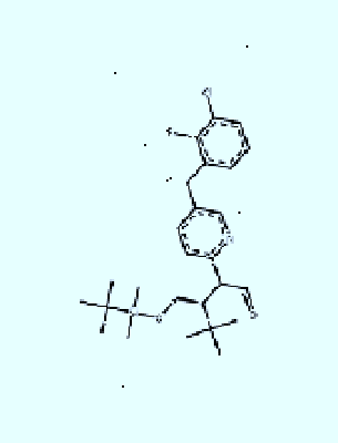 CC(C)(C)[C@@H](CO[Si](C)(C)C(C)(C)C)C(C=O)c1ccc(Cc2cccc(Cl)c2F)cn1